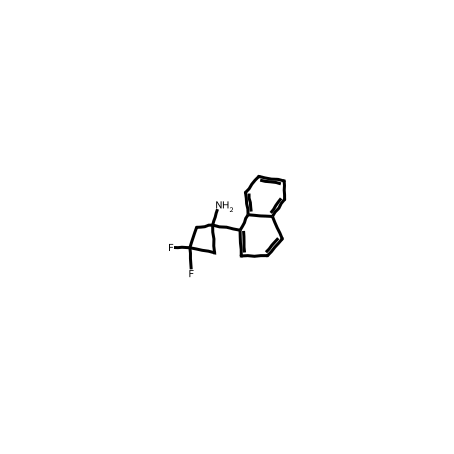 NC1(c2cccc3ccccc23)CC(F)(F)C1